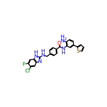 Nc1ccc(-c2cccs2)cc1NC(=O)c1ccc(CNc2nc3cc(Cl)c(F)cc3[nH]2)cc1